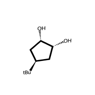 CC(C)(C)[C@@H]1C[C@@H](O)[C@@H](O)C1